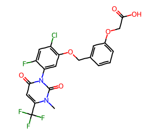 Cn1c(C(F)(F)F)cc(=O)n(-c2cc(OCc3cccc(OCC(=O)O)c3)c(Cl)cc2F)c1=O